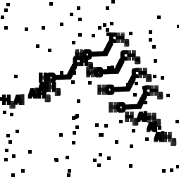 CCO.CCO.CCO.CCO.CCO.[AlH3].[AlH3].[AlH3].[AlH3].[AlH3].[AlH3]